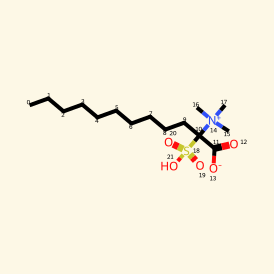 CCCCCCCCCCC(C(=O)[O-])([N+](C)(C)C)S(=O)(=O)O